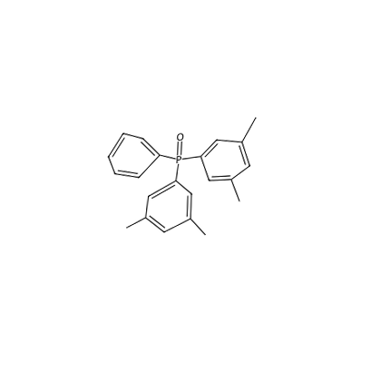 Cc1cc(C)cc(P(=O)(c2ccccc2)c2cc(C)cc(C)c2)c1